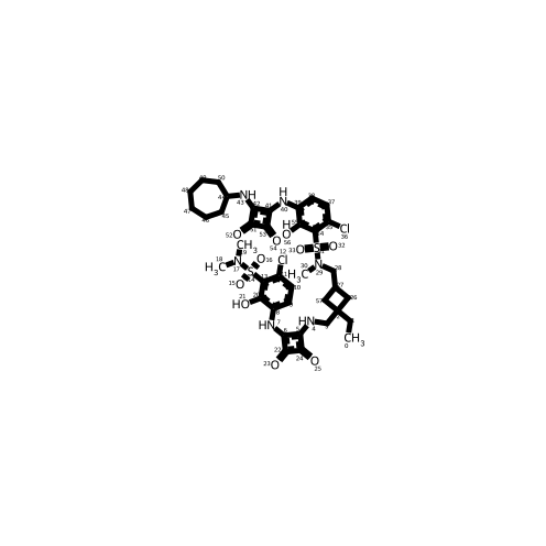 CCC1(CNc2c(Nc3ccc(Cl)c(S(=O)(=O)N(C)C)c3O)c(=O)c2=O)CC(CN(C)S(=O)(=O)c2c(Cl)ccc(Nc3c(NC4CCCCCC4)c(=O)c3=O)c2O)C1